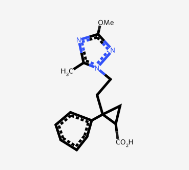 COc1nc(C)n(CCC2(c3ccccc3)CC2C(=O)O)n1